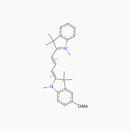 COc1ccc2c(c1)C(C)(C)/C(=C\C=C\C1=[N+](C)c3ccccc3C1(C)C)N2C